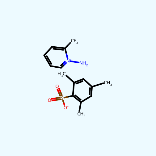 Cc1cc(C)c(S(=O)(=O)[O-])c(C)c1.N[n+]1ccccc1C(F)(F)F